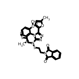 COc1cccc(OC)c1-n1c(-c2ccc(C)o2)nnc1N(CCSI)SCCN1C(=O)c2ccccc2C1=O